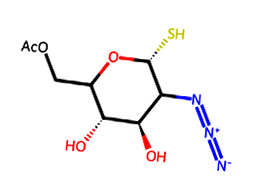 CC(=O)OCC1O[C@H](S)C(N=[N+]=[N-])[C@@H](O)[C@@H]1O